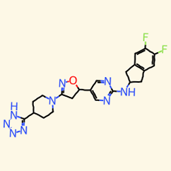 Fc1cc2c(cc1F)CC(Nc1ncc(C3CC(N4CCC(c5nnn[nH]5)CC4)=NO3)cn1)C2